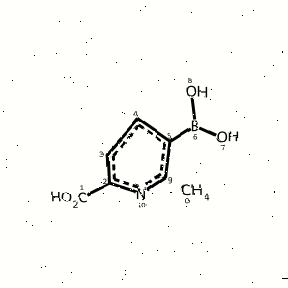 C.O=C(O)c1ccc(B(O)O)cn1